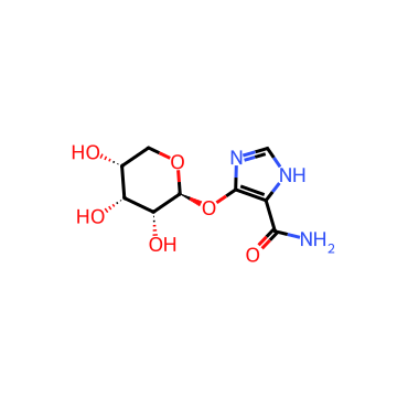 NC(=O)c1[nH]cnc1O[C@@H]1OC[C@@H](O)[C@@H](O)[C@H]1O